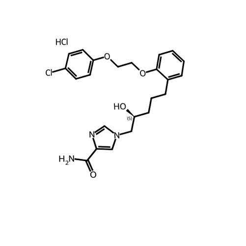 Cl.NC(=O)c1cn(C[C@@H](O)CCCc2ccccc2OCCOc2ccc(Cl)cc2)cn1